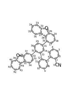 N#Cc1ccccc1-c1ccccc1-c1cc(-c2cccc3oc4ccccc4c23)ccc1-c1ccc2c(c1)oc1ccccc12